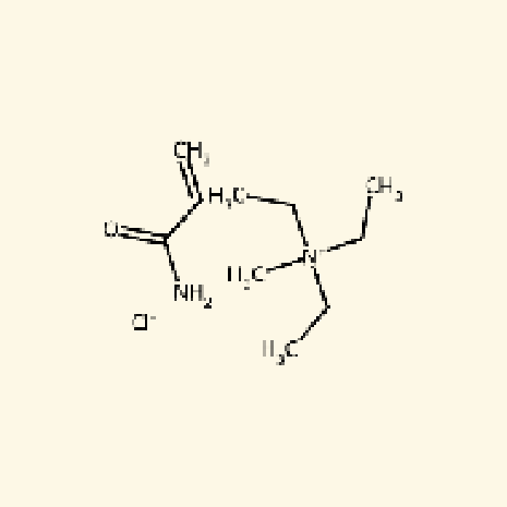 C=CC(N)=O.CC[N+](C)(CC)CC.[Cl-]